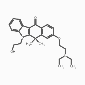 CCN(CC)CCOc1ccc2c(c1)C(C)(C)c1c(c3ccccc3n1CCO)C2=O